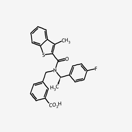 Cc1c(C(=O)N(Cc2cccc(C(=O)O)c2)[C@H](C)c2ccc(F)cc2)sc2ccccc12